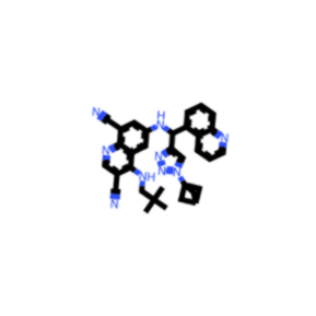 CC(C)(C)CNc1c(C#N)cnc2c(C#N)cc(NC(c3cn(C45CC(C4)C5)nn3)c3cccc4ncccc34)cc12